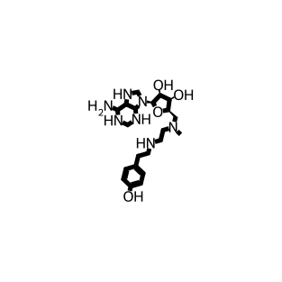 CN(CCNCCc1ccc(O)cc1)C[C@H]1O[C@@H](N2CNC3C(N)NCNC32)[C@H](O)[C@@H]1O